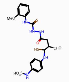 COc1ccccc1NC(=S)NNC(=O)CC(C=O)C(S)Nc1ccc(NS(=O)(=O)O)cc1